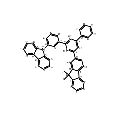 CC1(C)c2ccccc2-c2ccc(-c3cc(-c4ccccc4)nc(-c4cccc(-n5c6ccccc6c6ccccc65)c4)n3)cc21